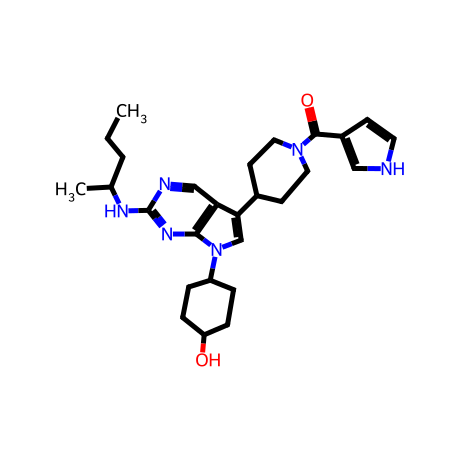 CCCC(C)Nc1ncc2c(C3CCN(C(=O)c4cc[nH]c4)CC3)cn(C3CCC(O)CC3)c2n1